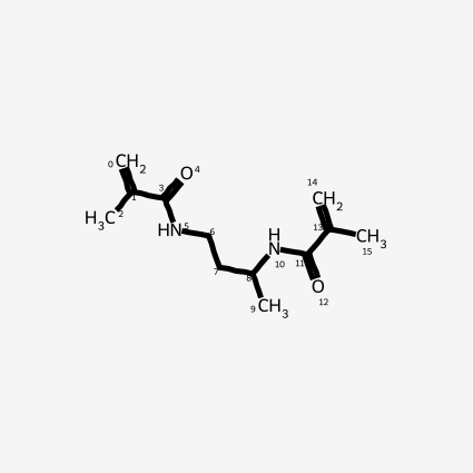 C=C(C)C(=O)NCCC(C)NC(=O)C(=C)C